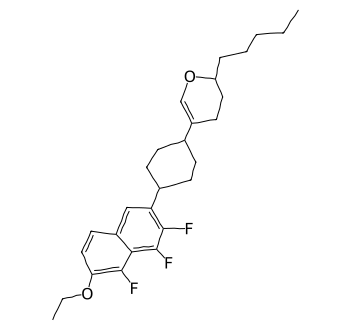 CCCCCC1CCC(C2CCC(c3cc4ccc(OCC)c(F)c4c(F)c3F)CC2)=CO1